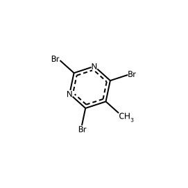 Cc1c(Br)nc(Br)nc1Br